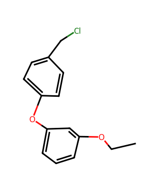 CCOc1cccc(Oc2ccc(CCl)cc2)c1